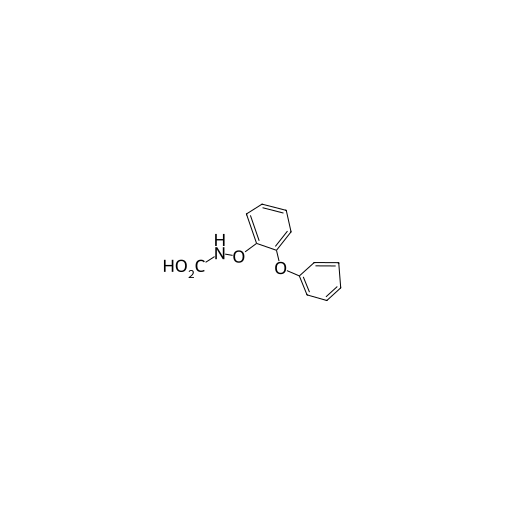 O=C(O)NOc1ccccc1Oc1ccccc1